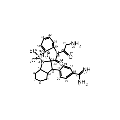 CCS(=O)(=O)N1C2CCCCC2C(c2ccc(C(=N)N)cc2)C1(C)C(=O)N(C(=O)CN)c1ccccc1